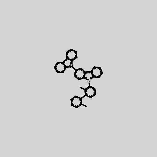 Cc1ccccc1-c1cccc(-n2c3ccccc3c3cc(-n4c5ccccc5c5ccccc54)ccc32)c1C